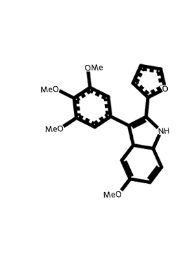 COC1=CC2C(c3cc(OC)c(OC)c(OC)c3)=C(c3ccco3)NC2C=C1